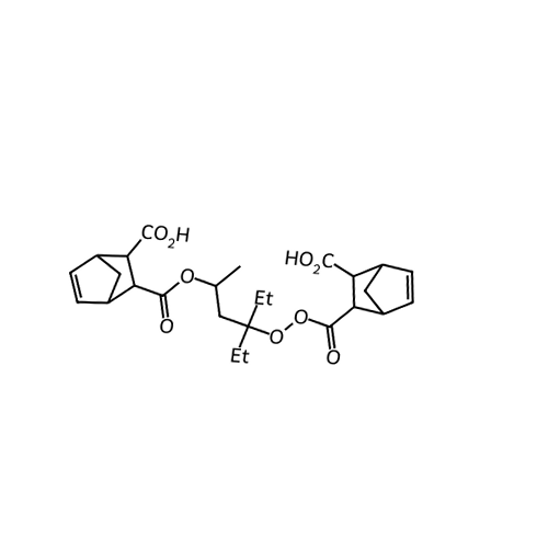 CCC(CC)(CC(C)OC(=O)C1C2C=CC(C2)C1C(=O)O)OOC(=O)C1C2C=CC(C2)C1C(=O)O